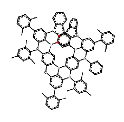 Cc1cc(C)c(N2c3cc4c(cc3B3c5cc6c(cc5Oc5cc(-c7c(C)cccc7C)cc2c53)N(c2c(C)cc(C)cc2C)c2cc(-c3c(C)cccc3C)cc3c2B6c2cccc5c6ccccc6n-3c25)B2c3c(cc(-c5c(C)cccc5C)cc3-n3c5ccccc5c5cccc2c53)N4c2ccccc2)c(C)c1